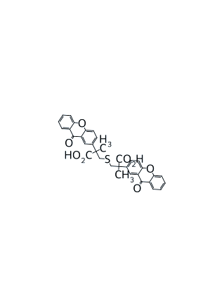 CC(CSCC(C)(C(=O)O)c1ccc2oc3ccccc3c(=O)c2c1)(C(=O)O)c1ccc2oc3ccccc3c(=O)c2c1